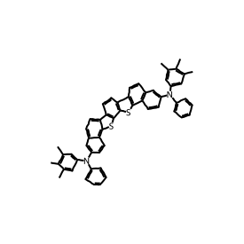 Cc1cc(N(c2ccccc2)c2ccc3c(ccc4c5ccc6c7ccc8cc(N(c9ccccc9)c9cc(C)c(C)c(C)c9)ccc8c7sc6c5sc34)c2)cc(C)c1C